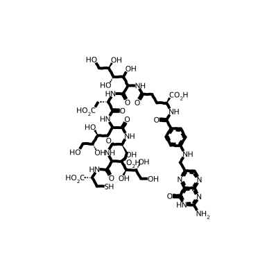 Nc1nc2ncc(CNc3ccc(C(=O)N[C@@H](CCC(=O)NC(C(=O)N[C@@H](CC(=O)O)C(=O)NC(C[C@H](O)[C@H](O)CO)C(=O)N[C@@H](CC(=O)O)C(=O)NC(C(=O)N[C@H](CS)C(=O)O)C(O)[C@H](O)[C@H](O)CO)C(O)[C@H](O)[C@H](O)CO)C(=O)O)cc3)nc2c(=O)[nH]1